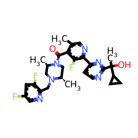 Cc1cnc(-c2ccnc(C(C)(O)C3CC3)n2)c(F)c1C(=O)N1C[C@H](C)N(Cc2ncc(F)cc2F)C[C@H]1C